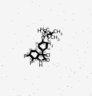 CC(C)(C)[Si](C)(C)Oc1ccc(C2(Cl)C(=O)Nc3c2ccc(F)c3F)cc1